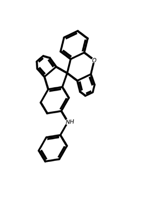 C1=C(Nc2ccccc2)CCC2=C1C1(c3ccccc3Oc3ccccc31)c1ccccc12